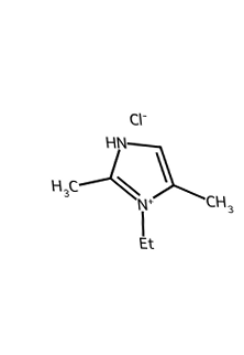 CC[n+]1c(C)c[nH]c1C.[Cl-]